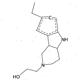 CCc1ccc2c(c1)C1CN(CCO)CCC1N2